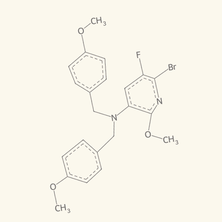 COc1ccc(CN(Cc2ccc(OC)cc2)c2cc(F)c(Br)nc2OC)cc1